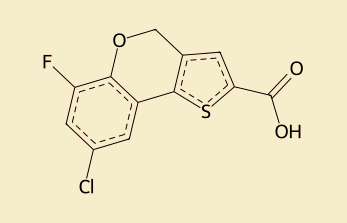 O=C(O)c1cc2c(s1)-c1cc(Cl)cc(F)c1OC2